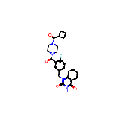 O=C(c1cc(Cn2c3c(c(=O)[nH]c2=O)CCCC3)ccc1F)N1CCN(C(=O)C2CCC2)CC1